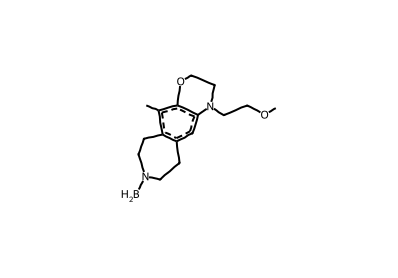 BN1CCc2cc3c(c(C)c2CC1)OCCN3CCOC